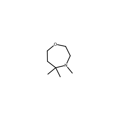 CN1CCOCCC1(C)C